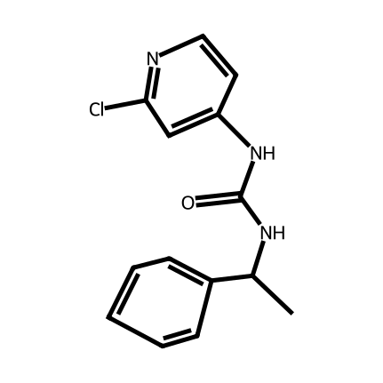 CC(NC(=O)Nc1ccnc(Cl)c1)c1ccccc1